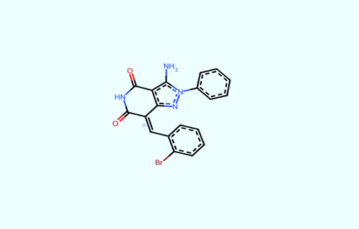 Nc1c2c(nn1-c1ccccc1)/C(=C\c1ccccc1Br)C(=O)NC2=O